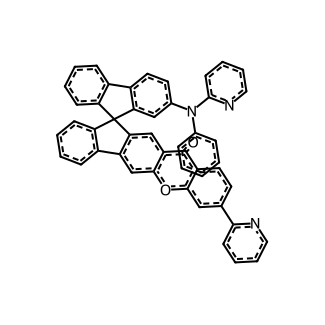 O=c1c2ccc(-c3ccccn3)cc2oc2cc3c(cc12)C1(c2ccccc2-c2ccc(N(c4ccccc4)c4ccccn4)cc21)c1ccccc1-3